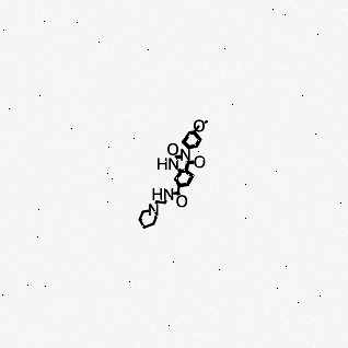 COc1ccc(-n2c(=O)[nH]c3cc(C(=O)NCCN4CCCCC4)ccc3c2=O)cc1